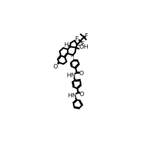 CC(C)(F)C(F)(F)[C@]1(O)CC[C@H]2C3CCC4=CC(=O)CCC4=C3[C@@H](c3ccc(C(=O)Nc4ccc(C(=O)Nc5ccccc5)cc4)cc3)CC21C